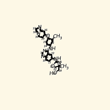 Cc1cc(Nc2ncnc3ccc(NC4=NC(C)(CO)CO4)cc23)ccc1Oc1ccn2ccnc2c1